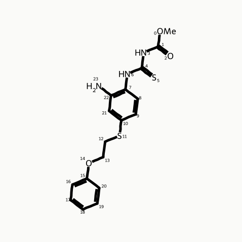 COC(=O)NC(=S)Nc1ccc(SCCOc2ccccc2)cc1N